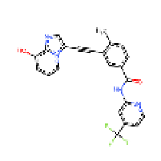 Cc1ccc(C(=O)Nc2cc(C(F)(F)F)ccn2)cc1C#Cc1cnc2c(O)cccn12